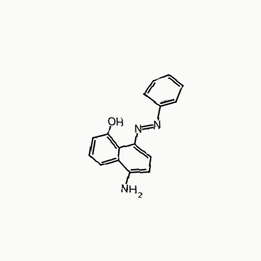 Nc1ccc(N=Nc2ccccc2)c2c(O)cccc12